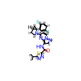 CC(C)c1nnc(C(=O)Nc2cnn3ccc(N4CC[C@H]5C[C@]54c4cc(F)ccc4F)nc23)s1